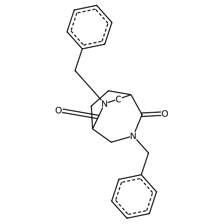 O=C1C2CCC(CN1Cc1ccccc1)C(=O)N(Cc1ccccc1)C2